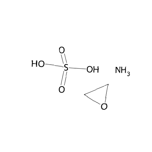 C1CO1.N.O=S(=O)(O)O